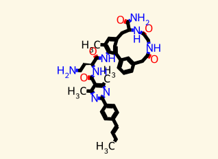 CC/C=C/c1ccc(-c2nc(C)c(C(=O)N[C@@H](CCN)C(=O)Nc3c(C)cc4cc3-c3cccc(c3)CC(=O)NCC(=O)NC(C(N)=O)C4)c(C)n2)cc1